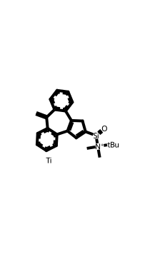 C=C1c2ccccc2C2=C(CC([Si](=O)[N+](C)(C)C(C)(C)C)=C2)c2ccccc21.[Ti]